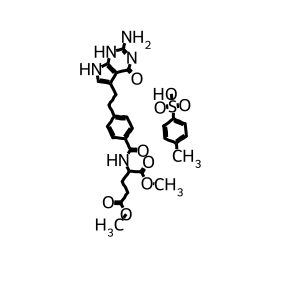 COC(=O)CCC(NC(=O)c1ccc(CCc2c[nH]c3[nH]c(N)nc(=O)c23)cc1)C(=O)OC.Cc1ccc(S(=O)(=O)O)cc1